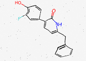 O=c1[nH]c(Cc2ccccc2)ccc1-c1ccc(O)c(F)c1